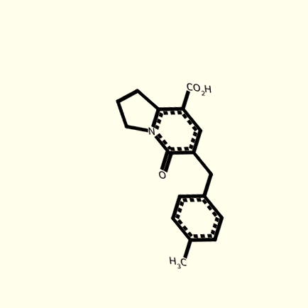 Cc1ccc(Cc2cc(C(=O)O)c3n(c2=O)CCC3)cc1